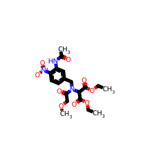 CCOC(=O)C(C(=O)OCC)N(Cc1ccc([N+](=O)[O-])c(NC(C)=O)c1)C(=O)COC